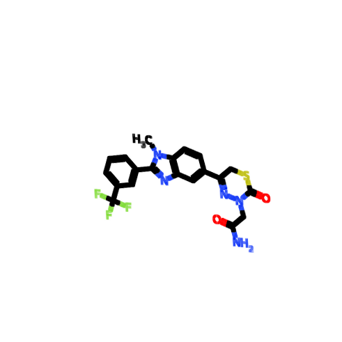 Cn1c(-c2cccc(C(F)(F)F)c2)nc2cc(C3=NN(CC(N)=O)C(=O)SC3)ccc21